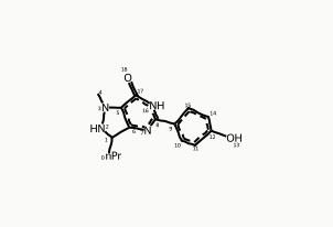 CCCC1NN(C)c2c1nc(-c1ccc(O)cc1)[nH]c2=O